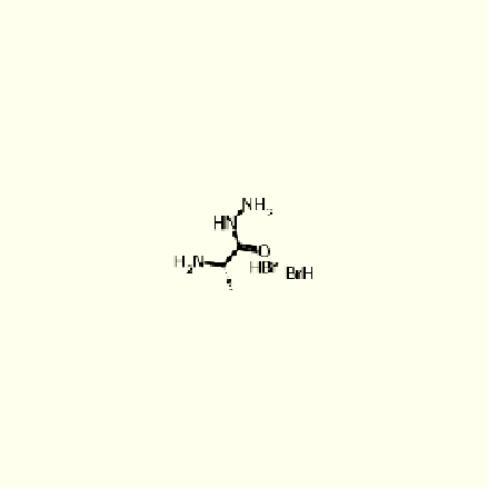 Br.Br.C[C@H](N)C(=O)NN